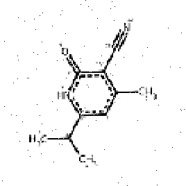 Cc1cc(C(C)C)[nH]c(=O)c1C#N